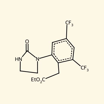 CCOC(=O)Cc1c(N2CCNC2=O)cc(C(F)(F)F)cc1C(F)(F)F